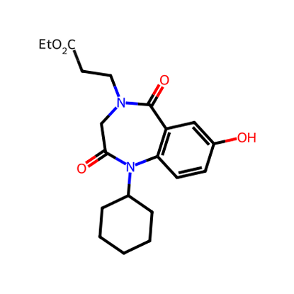 CCOC(=O)CCN1CC(=O)N(C2CCCCC2)c2ccc(O)cc2C1=O